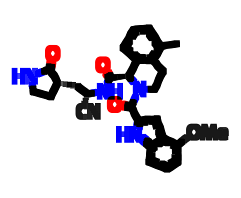 COc1cccc2[nH]c(C(=O)N3CCc4c(C)cccc4[C@@H]3C(=O)N[C@H](C#N)C[C@@H]3CCNC3=O)cc12